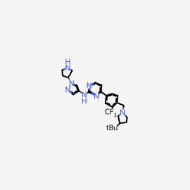 CC(C)(C)C1CCN(Cc2ccc(-c3ccnc(Nc4cnn([C@H]5CCNC5)c4)n3)cc2C(F)(F)F)C1